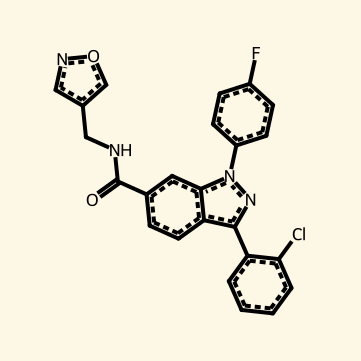 O=C(NCc1cnoc1)c1ccc2c(-c3ccccc3Cl)nn(-c3ccc(F)cc3)c2c1